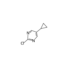 Clc1ncc(C2CC2)cn1